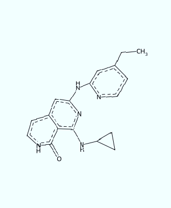 CCc1ccnc(Nc2cc3cc[nH]c(=O)c3c(NC3CC3)n2)c1